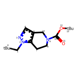 CC(C)(C)Cn1ncc2c1CCN(C(=O)OC(C)(C)C)C2